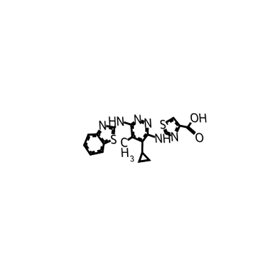 Cc1c(Nc2nc3ccccc3s2)nnc(Nc2nc(C(=O)O)cs2)c1C1CC1